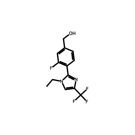 CCn1cc(C(F)(F)F)nc1-c1ccc(CO)cc1F